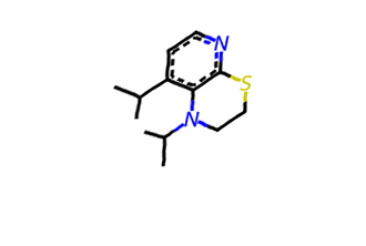 CC(C)c1ccnc2c1N(C(C)C)CCS2